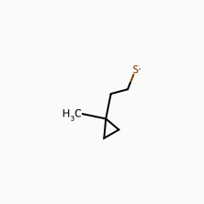 CC1(CC[S])CC1